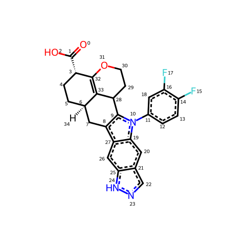 O=C(O)[C@H]1CC[C@@H]2Cc3c(n(-c4ccc(F)c(F)c4)c4cc5cn[nH]c5cc34)C3CCOC1=C32